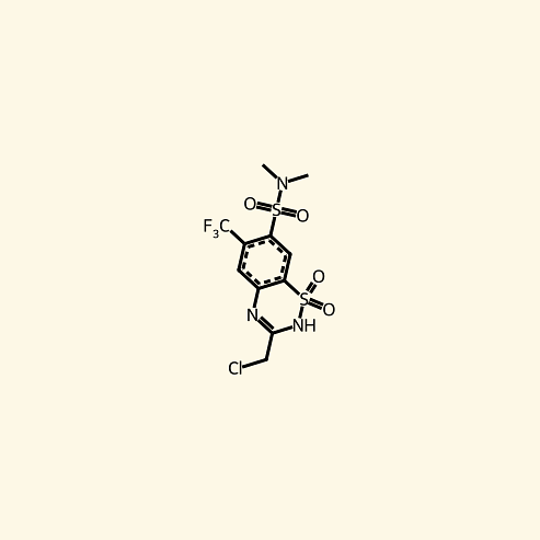 CN(C)S(=O)(=O)c1cc2c(cc1C(F)(F)F)N=C(CCl)NS2(=O)=O